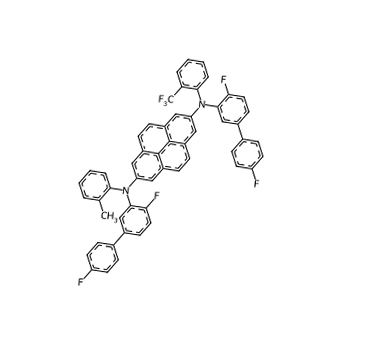 Cc1ccccc1N(c1cc2ccc3cc(N(c4cc(-c5ccc(F)cc5)ccc4F)c4ccccc4C(F)(F)F)cc4ccc(c1)c2c34)c1cc(-c2ccc(F)cc2)ccc1F